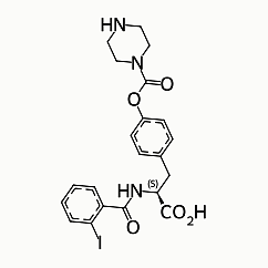 O=C(N[C@@H](Cc1ccc(OC(=O)N2CCNCC2)cc1)C(=O)O)c1ccccc1I